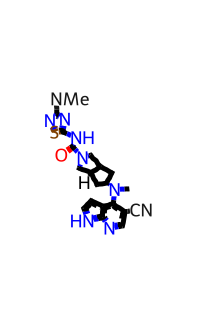 CNc1nsc(NC(=O)N2CC3C[C@@H](N(C)c4c(C#N)cnc5[nH]ccc45)C[C@@H]3C2)n1